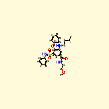 CCCCNc1cc(C(=O)NCCOC)cc(S(=O)(=O)Nc2ccccc2)c1Oc1ccccc1